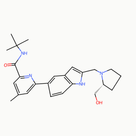 Cc1cc(C(=O)NC(C)(C)C)nc(-c2ccc3[nH]c(CN4CCC[C@@H]4CO)cc3c2)c1